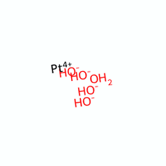 O.[OH-].[OH-].[OH-].[OH-].[Pt+4]